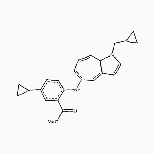 COC(=O)c1cc(C2CC2)ccc1NC1=CC=CC2C(=C1)C=CN2CC1CC1